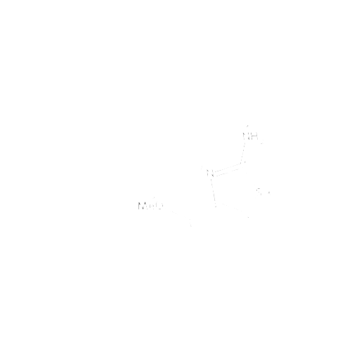 COCC1CSC(N)=N1